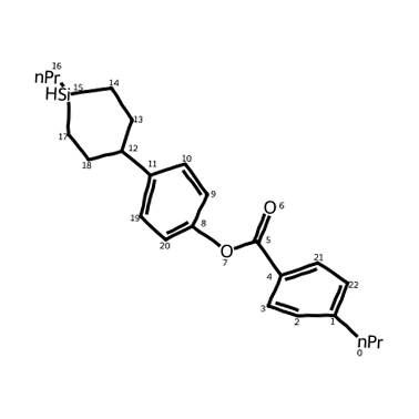 CCCc1ccc(C(=O)Oc2ccc(C3CC[SiH](CCC)CC3)cc2)cc1